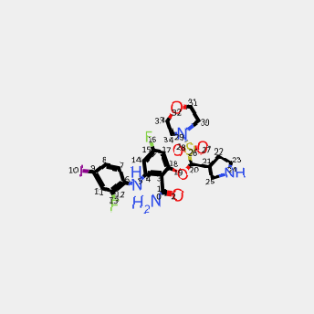 NC(=O)c1c(Nc2ccc(I)cc2F)cc(F)cc1OC(C1CCNC1)S(=O)(=O)N1CCOCC1